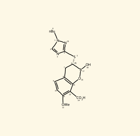 CCCCn1cnc(S[C@H]2Cc3ccc(OC)c(C(=O)O)c3OB2O)n1